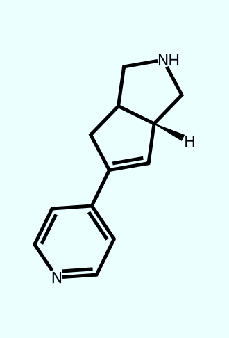 C1=C(c2ccncc2)CC2CNC[C@H]12